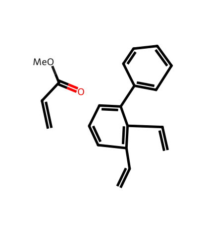 C=CC(=O)OC.C=Cc1cccc(-c2ccccc2)c1C=C